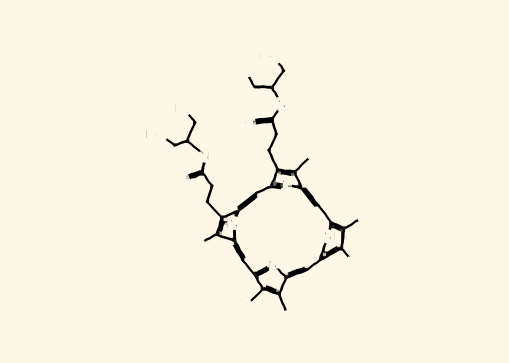 CCC1=C(C)c2cc3[nH]c(cc4nc(cc5[nH]c(cc1n2)c(C)c5CCC(=O)NC(CO)CO)C(CCC(=O)NC(CO)CO)=C4C)c(C)c3CC